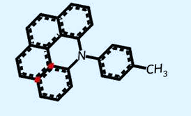 Cc1ccc(N(c2ccccc2)c2cccc3ccc4ccccc4c23)cc1